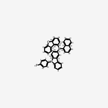 Fc1ccc(-n2c3ccccc3c3cc(N(c4cccc5ccccc45)c4cccc5oc6ccccc6c45)ccc32)cc1